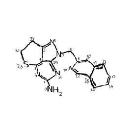 Nc1nc2c3c(nn(Cc4cc5ccccc5cn4)c3n1)CCS2